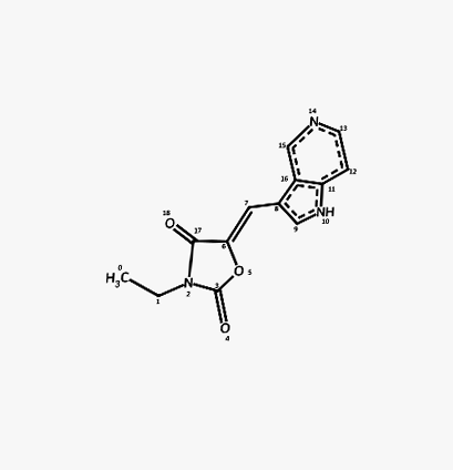 CCN1C(=O)O/C(=C\c2c[nH]c3ccncc23)C1=O